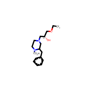 O=C(O)N1CCN(C[C@@H](O)COCC(F)(F)F)CC1Cc1ccccc1